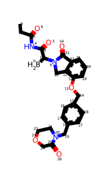 BC(C(=O)NC(=O)CC)N1Cc2c(OCc3ccc(CN4CCOCC4=O)cc3)cccc2C1=O